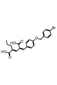 CCCC(=CC(=Cc1ccc(OCc2ccc(Br)cc2)cc1)C(=O)O)C(=O)O